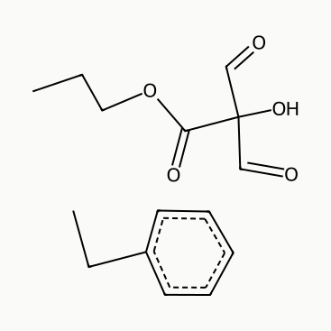 CCCOC(=O)C(O)(C=O)C=O.CCc1ccccc1